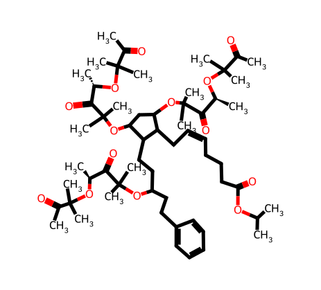 CC(=O)C(C)(C)O[C@@H](C)C(=O)C(C)(C)OC(CCc1ccccc1)CCC1C(OC(C)(C)C(=O)[C@H](C)OC(C)(C)C(C)=O)CC(OC(C)(C)C(=O)[C@H](C)OC(C)(C)C(C)=O)C1C/C=C\CCCC(=O)OC(C)C